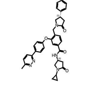 Cc1ccc(-c2ccc(Oc3cc(C(=O)N[C@H]4CC(=O)N(C5CC5)C4)ccc3CN3C[C@H](c4ccccc4)CC3=O)cc2)nn1